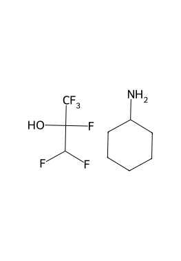 NC1CCCCC1.OC(F)(C(F)F)C(F)(F)F